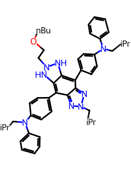 CCCCOCCN1Nc2c(c(-c3ccc(N(CC(C)C)c4ccccc4)cc3)c3nn(CC(C)C)nc3c2-c2ccc(N(CC(C)C)c3ccccc3)cc2)N1